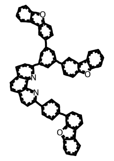 c1ccc2c(c1)oc1ccc(-c3cc(-c4ccc5oc6ccccc6c5c4)cc(-c4ccc5ccc6ccc(-c7ccc(-c8cccc9c8oc8ccccc89)cc7)nc6c5n4)c3)cc12